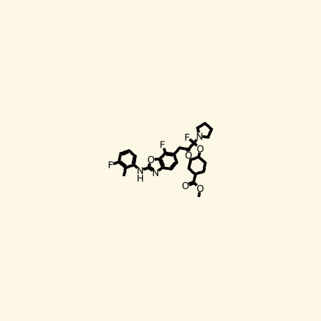 COC(=O)C1CCC(OC(F)(C(=O)Cc2ccc3nc(Nc4cccc(F)c4C)oc3c2F)N2CCCC2)CC1